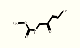 CC(C)C=CC(=O)CNC(=O)OC(C)(C)C